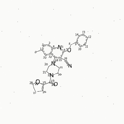 Cc1ccc2nc(OCc3ccccc3)c(C#N)c(N3CCN(C(=O)C4=CCCO4)CC3)c2c1